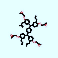 C=CCc1cc(C(c2ccc(C(c3ccc(OCC4CO4)c(CC=C)c3)c3ccc(OCC4CO4)c(CC(=C)C)c3)cc2)c2ccc(OCC3CO3)c(CC=C)c2)ccc1OCC1CO1